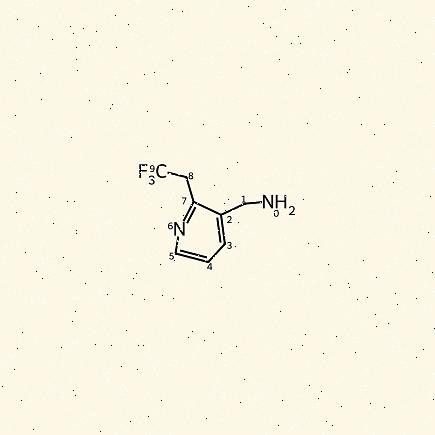 NCc1cccnc1CC(F)(F)F